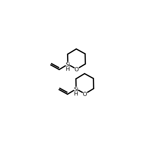 C=C[SiH]1CCCCO1.C=C[SiH]1CCCCO1